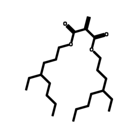 C=C(C(=O)OCCCC(CC)CCCC)C(=O)OCCCC(CC)CCCC